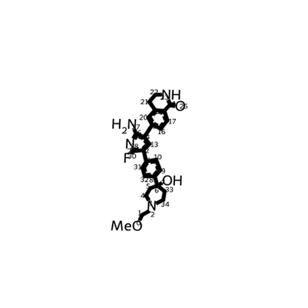 COCCN1CCC(O)(c2ccc(-c3cc(-c4ccc5c(c4)CCNC5=O)c(N)nc3F)cc2)CC1